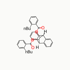 CCCCc1ccccc1C(=O)OC1C(OC(=O)c2ccccc2CCCC)[C@H]2c3ccccc3[C@H]1c1ccccc12